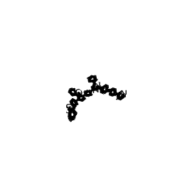 c1ccc(-c2cc(-c3ccc(-c4ccc(-c5ccc6sc7ccccc7c6c5)c5c4oc4ccccc45)cc3)nc(-c3ccc(-c4ccc(-c5cccnc5)cc4)cc3)n2)cc1